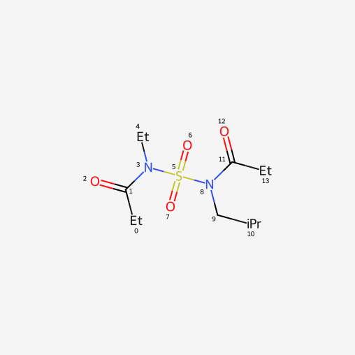 CCC(=O)N(CC)S(=O)(=O)N(CC(C)C)C(=O)CC